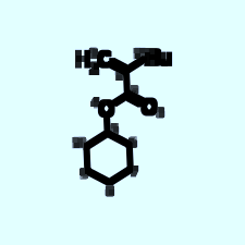 C=C(C(=O)OC1CCCCC1)C(C)CC